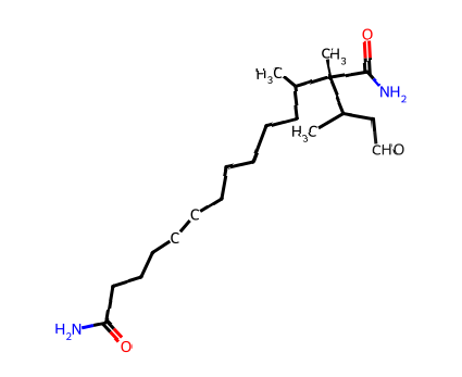 CC(CC=O)C(C)(C(N)=O)C(C)CCCCCCCCCCC(N)=O